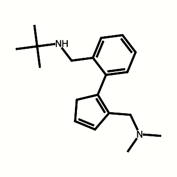 CN(C)CC1=C(c2ccccc2CNC(C)(C)C)CC=C1